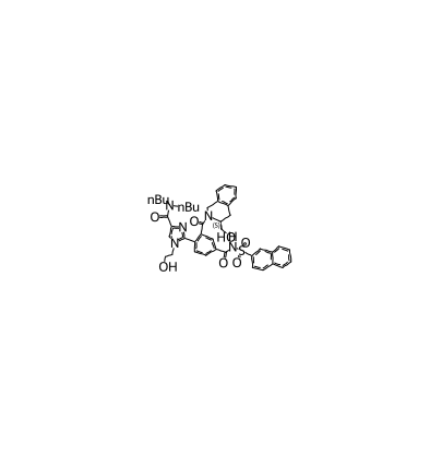 CCCCN(CCCC)C(=O)c1cn(CCO)c(-c2ccc(C(=O)NS(=O)(=O)c3ccc4ccccc4c3)cc2C(=O)N2Cc3ccccc3C[C@H]2CO)n1